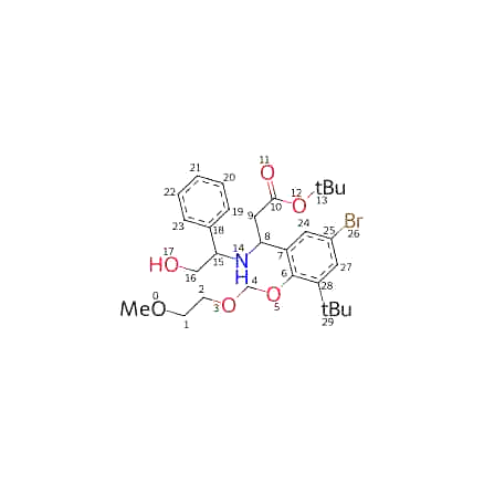 COCCOCOc1c(C(CC(=O)OC(C)(C)C)NC(CO)c2ccccc2)cc(Br)cc1C(C)(C)C